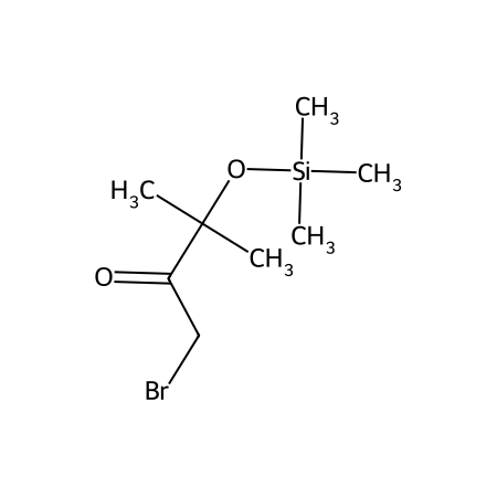 CC(C)(O[Si](C)(C)C)C(=O)CBr